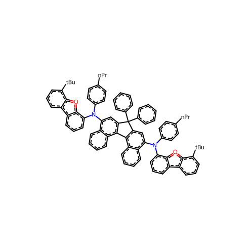 CCCc1ccc(N(c2cc3c(c4ccccc24)-c2c(cc(N(c4ccc(CCC)cc4)c4cccc5c4oc4c(C(C)(C)C)cccc45)c4ccccc24)C3(c2ccccc2)c2ccccc2)c2cccc3c2oc2c(C(C)(C)C)cccc23)cc1